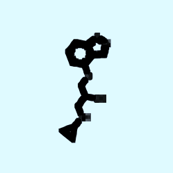 OC(CNC1CC1)COc1cccc2sncc12